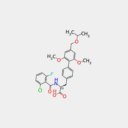 COc1cc(COC(C)C)cc(OC)c1-c1ccc(C[C@H](NC(=O)c2c(F)cccc2Cl)C(=O)O)cc1